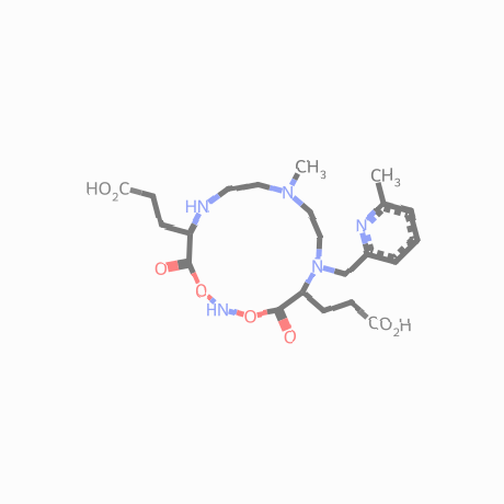 Cc1cccc(CN2CCN(C)CCNC(CCC(=O)O)C(=O)ONOC(=O)C2CCC(=O)O)n1